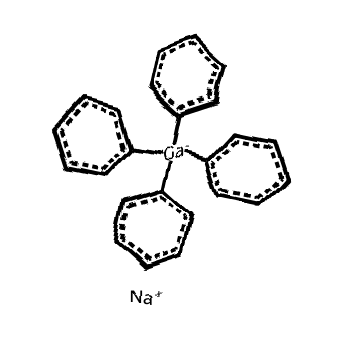 [Na+].c1cc[c]([Ga-]([c]2ccccc2)([c]2ccccc2)[c]2ccccc2)cc1